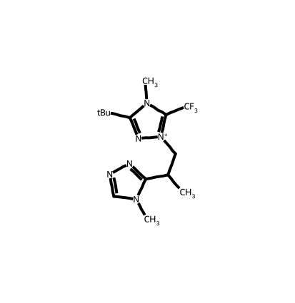 CC(C[n+]1nc(C(C)(C)C)n(C)c1C(F)(F)F)c1nncn1C